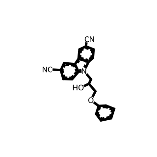 N#Cc1ccc2c(c1)c1cc(C#N)ccc1n2CC(O)COc1ccccc1